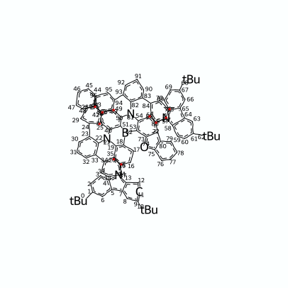 CC(C)(C)c1ccc2c(c1)c1cc(C(C)(C)C)ccc1n2-c1ccc2c(c1)N(c1c(-c3ccccc3)cccc1-c1ccccc1)c1cc(-c3ccccc3)cc3c1B2c1c(cc(-n2c4ccc(C(C)(C)C)cc4c4cc(C(C)(C)C)ccc42)c2c1oc1ccccc12)N3c1c(-c2ccccc2)cccc1-c1ccccc1